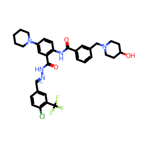 O=C(Nc1ccc(N2CCCCC2)cc1C(=O)N/N=C/c1ccc(Cl)c(C(F)(F)F)c1)c1cccc(CN2CCC(O)CC2)c1